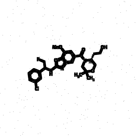 COc1cc(C(=O)N2CC(C)(C)OC[C@H]2CCO)cc2nc(NC(CF)c3cccc(Cl)c3)oc12